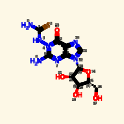 NC(=S)Nn1c(N)nc2c(ncn2[C@@H]2O[C@H](CO)[C@@H](O)[C@H]2O)c1=O